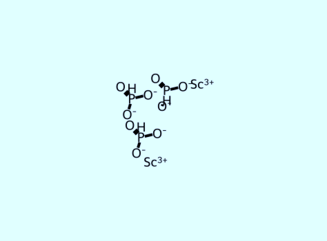 O=[PH]([O-])[O-].O=[PH]([O-])[O-].O=[PH]([O-])[O-].[Sc+3].[Sc+3]